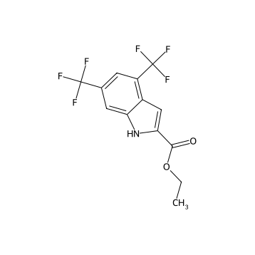 CCOC(=O)c1cc2c(C(F)(F)F)cc(C(F)(F)F)cc2[nH]1